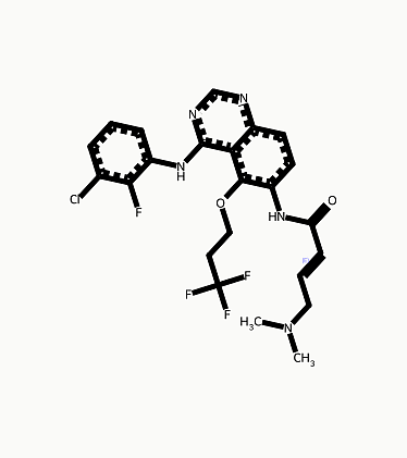 CN(C)C/C=C/C(=O)Nc1ccc2ncnc(Nc3cccc(Cl)c3F)c2c1OCCC(F)(F)F